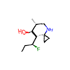 CC[C@H](F)[C@@H]1[C@@H](O)[C@H](C)CNC12CC2